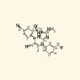 CC1=C(C#N)[C@@H](c2ccc(C#N)cc2S(C)(=O)=O)n2nc(N)nc2N1c1cccc(CF)c1